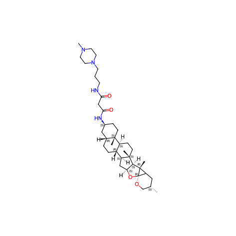 C[C@@H]1CO[C@]23O[C@H]4C[C@H]5[C@@H]6CC[C@@H]7C[C@@H](NC(=O)CC(=O)NCCCN8CCN(C)CC8)CC[C@]7(C)[C@H]6CC[C@]5(C)[C@H]4[C@]2(C)C3C1